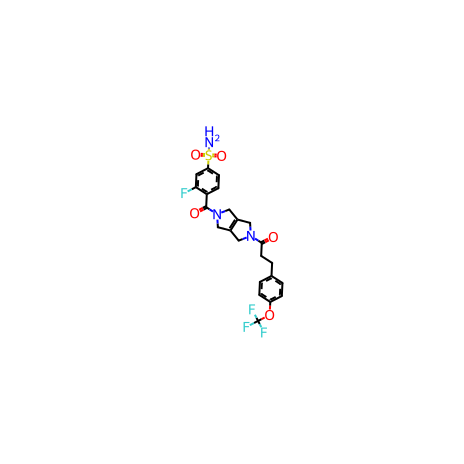 NS(=O)(=O)c1ccc(C(=O)N2CC3=C(CN(C(=O)CCc4ccc(OC(F)(F)F)cc4)C3)C2)c(F)c1